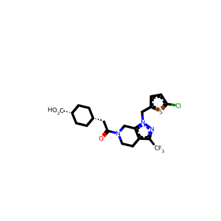 O=C(C[C@H]1CC[C@@H](C(=O)O)CC1)N1CCc2c(C(F)(F)F)nn(Cc3ccc(Cl)s3)c2C1